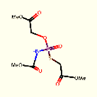 COC(=O)COP(=O)(NC(=O)OC)SCC(=O)OC